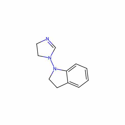 C1=NCCN1N1CCc2ccccc21